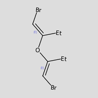 CC/C(=C\Br)O/C(=C/Br)CC